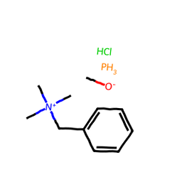 C[N+](C)(C)Cc1ccccc1.C[O-].Cl.P